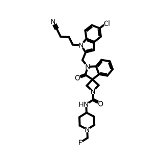 N#CCCCn1c(CN2C(=O)C3(CN(C(=O)NC4CCN(CF)CC4)C3)c3ccccc32)cc2cc(Cl)ccc21